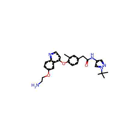 Cc1cc(CC(=O)Nc2cnn(C(C)(C)C)c2)ccc1Oc1ccnc2ccc(OCCN)cc12